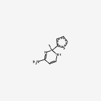 CC1(c2cccs2)N=C(N)C=CN1